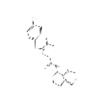 CN(C)[C@H](CCC(=O)NC1CCCc2cccnc21)Cc1ccc(O)cc1